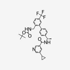 C[C@@H](NC(=O)c1cncc(C2CC2)c1)c1ccc(-c2cc(C(F)(F)F)ccc2CNC(=O)OC(C)(C)C)cc1